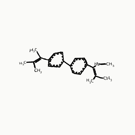 CNC(=C(C)C)c1ccc(-c2ccc(C(C)=C(C)C)cc2)cc1